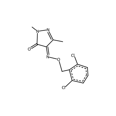 CC1=NN(C)C(=O)C1=NOCc1c(Cl)cccc1Cl